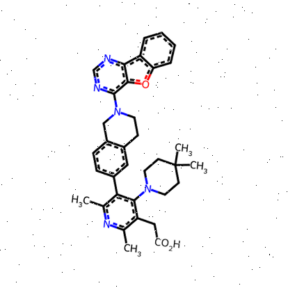 Cc1nc(C)c(-c2ccc3c(c2)CCN(c2ncnc4c2oc2ccccc24)C3)c(N2CCC(C)(C)CC2)c1CC(=O)O